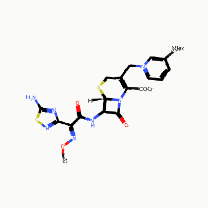 CCON=C(C(=O)NC1C(=O)N2C(C(=O)[O-])=C(C[n+]3cccc(NC)c3)CS[C@@H]12)c1nsc(N)n1